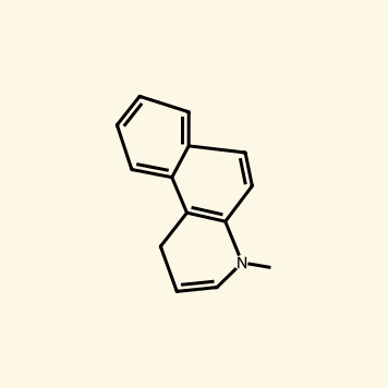 CN1C=CCc2c1ccc1ccccc21